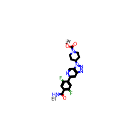 CCNC(=O)c1cc(F)c(-c2cc3nnn(C4CCN(C(=O)OC(C)C)CC4)c3cn2)cc1F